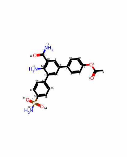 CC(=O)Oc1ccc(-c2cc(C(N)=O)c(N)c(-c3ccc(S(N)(=O)=O)cc3)c2)cc1